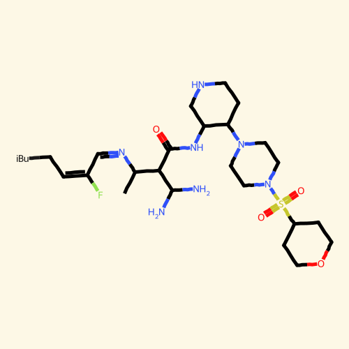 CCC(C)C/C=C(F)\C=N/C(C)C(C(=O)NC1CNCCC1N1CCN(S(=O)(=O)C2CCOCC2)CC1)C(N)N